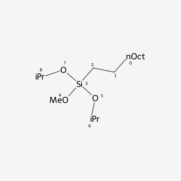 CCCCCCCCCC[Si](OC)(OC(C)C)OC(C)C